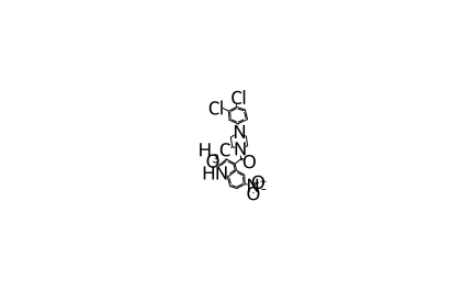 CC1CN(c2ccc(Cl)c(Cl)c2)CCN1C(=O)c1cc(=O)[nH]c2ccc([N+](=O)[O-])cc12